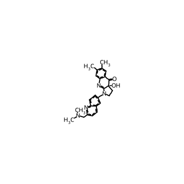 Cc1cc2c(cc1C)C(=O)[C@]1(O)CCN(c3ccc4nc(CN(C)C)ccc4c3)C1=N2